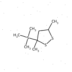 CC1CC(C)(S(C)(C)C)SS1